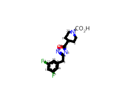 O=C(O)N1CCC(c2nc(Cc3cc(F)cc(F)c3)no2)CC1